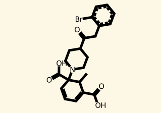 CC1C(C(=O)O)=CC=CC1(C(=O)O)N1CCC(C(=O)Cc2ccccc2Br)CC1